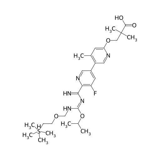 Cc1cc(OCC(C)(C)C(=O)O)ncc1-c1cnc(C(=N)/N=C(\NCOCC[SH](C)(C)(C)C)OC(C)C)c(F)c1